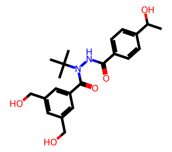 CC(O)c1ccc(C(=O)NN(C(=O)c2cc(CO)cc(CO)c2)C(C)(C)C)cc1